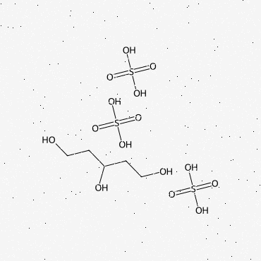 O=S(=O)(O)O.O=S(=O)(O)O.O=S(=O)(O)O.OCCC(O)CCO